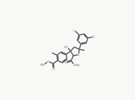 COC(=O)C1SC(C)(c2cc(Cl)cc(Cl)c2)CC1(O)c1ccc(C(=O)OC(C)(C)C)c(C)c1